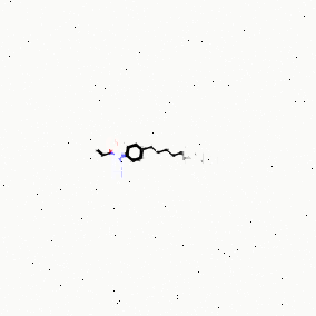 C=CC(=O)Nc1ccc(CCCCCCCCCCCCCC)cc1